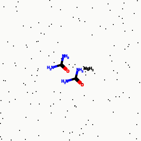 NC(N)=O.NC(N)=O.[MgH2]